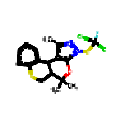 Cc1nn(SC(F)(Cl)Cl)c2c1C1c3ccccc3SCC1C(C)(C)O2